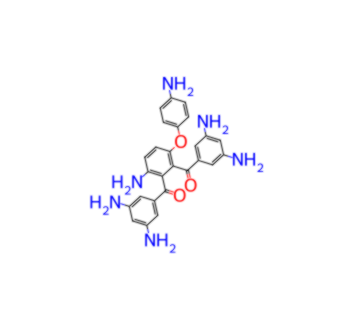 Nc1ccc(Oc2ccc(N)c(C(=O)c3cc(N)cc(N)c3)c2C(=O)c2cc(N)cc(N)c2)cc1